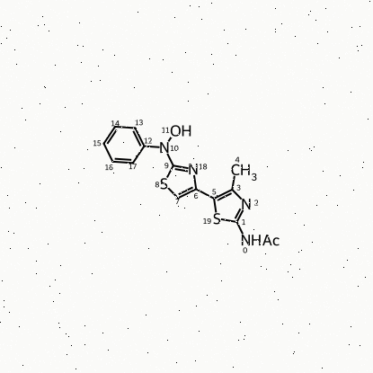 CC(=O)Nc1nc(C)c(-c2csc(N(O)c3ccccc3)n2)s1